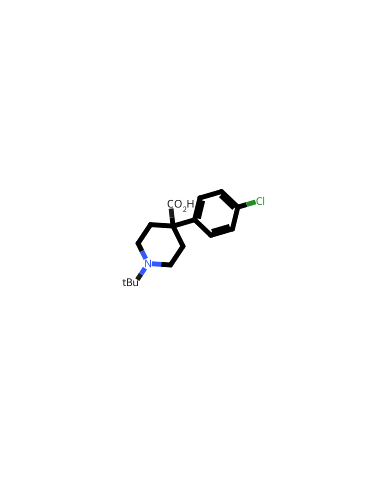 CC(C)(C)N1CCC(C(=O)O)(c2ccc(Cl)cc2)CC1